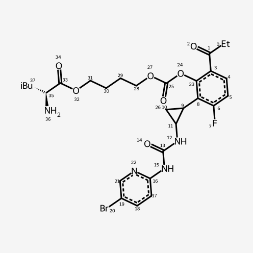 CCC(=O)c1ccc(F)c(C2CC2NC(=O)Nc2ccc(Br)cn2)c1OC(=O)OCCCCOC(=O)[C@@H](N)[C@@H](C)CC